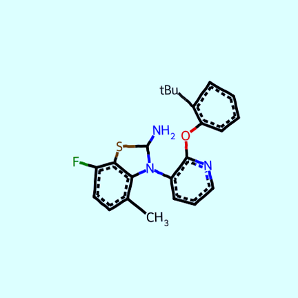 Cc1ccc(F)c2c1N(c1cccnc1Oc1ccccc1C(C)(C)C)C(N)S2